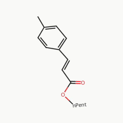 CCCCCOC(=O)/C=C/c1ccc(C)cc1